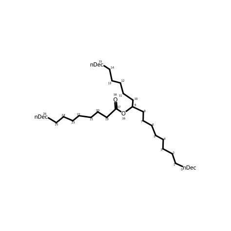 CCCCCCCCCCCCCCCCCCC(CCCCCCCCCCCCCCC)OC(=O)CCCCCCCCCCCCCCCCC